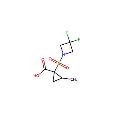 CC1CC1(C(=O)O)S(=O)(=O)N1CC(F)(F)C1